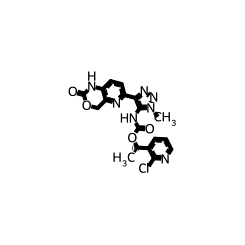 C[C@@H](OC(=O)Nc1c(-c2ccc3c(n2)COC(=O)N3)nnn1C)c1cccnc1Cl